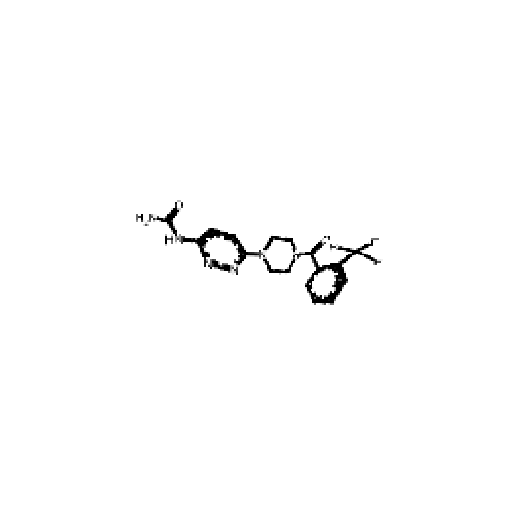 NC(=O)Nc1ccc(N2CCN(C(=O)c3ccccc3C(F)(F)F)CC2)nn1